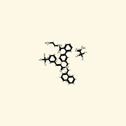 NCCNC(=O)c1ccccc1-c1cccc(CN(Cc2cccc3ccccc23)C(=O)/C=C/c2cccc(C(F)(F)F)c2)c1.O=C(O)C(F)(F)F